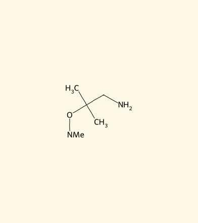 CNOC(C)(C)CN